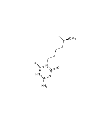 CO[C@H](C)CCCCn1c(=O)cc(N)[nH]c1=O